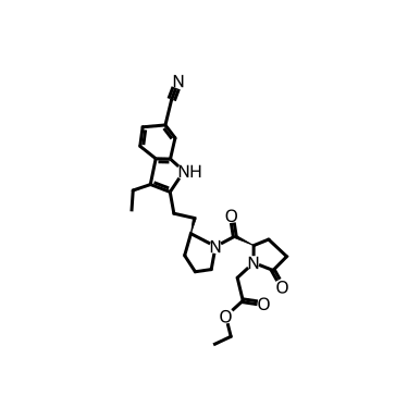 CCOC(=O)CN1C(=O)CC[C@@H]1C(=O)N1CCC[C@H]1CCc1[nH]c2cc(C#N)ccc2c1CC